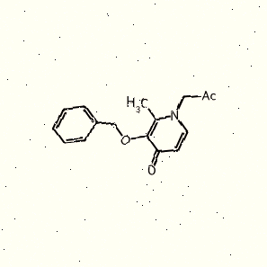 CC(=O)Cn1ccc(=O)c(OCc2ccccc2)c1C